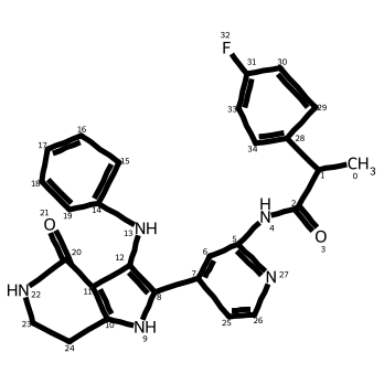 CC(C(=O)Nc1cc(-c2[nH]c3c(c2Nc2ccccc2)C(=O)NCC3)ccn1)c1ccc(F)cc1